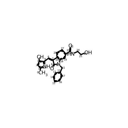 Cc1cc(C)c(/C=C2\C(=O)N(Cc3ccccc3)c3cc(C(=O)NCCO)ccc32)[nH]1